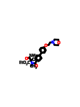 CCOC(=O)[C@](C)(C(=O)NC)N(C)C(=O)c1ccc(-c2ccc(OCCN3CCOCC3)cc2)cc1